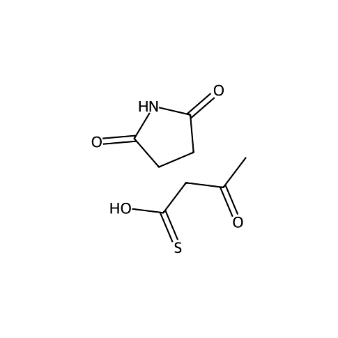 CC(=O)CC(O)=S.O=C1CCC(=O)N1